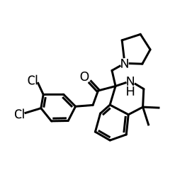 CC1(C)CNC(CN2CCCC2)(C(=O)Cc2ccc(Cl)c(Cl)c2)c2ccccc21